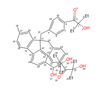 CCC(O)(CC)C(=O)c1ccc(CC2(Cc3ccc(C(=O)C(O)(CC)CC)cc3)c3cc(C)ccc3-c3ccc(C(O)C(O)(CC)CC)cc32)cc1